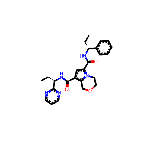 CC[C@H](NC(=O)c1cc(C(=O)N[C@H](CC)c2ccccc2)n2c1COCC2)c1ncccn1